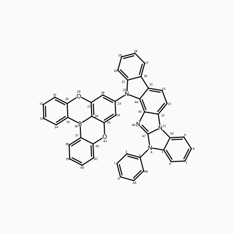 c1ccc(-n2c3ccccc3n3c4ccc5c6ccccc6n(-c6cc7c8c(c6)Oc6ccccc6B8c6ccccc6O7)c5c4nc23)cc1